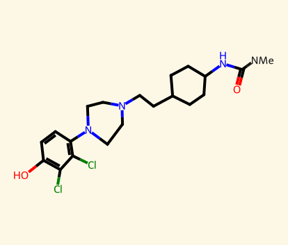 CNC(=O)NC1CCC(CCN2CCN(c3ccc(O)c(Cl)c3Cl)CC2)CC1